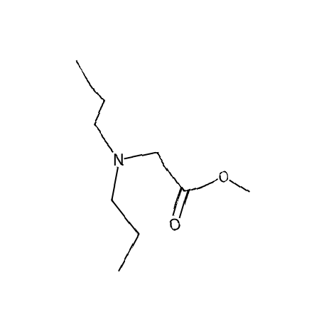 CCCN(CCC)CC(=O)OC